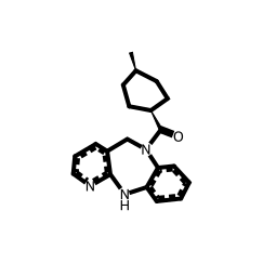 C[C@H]1CC[C@@H](C(=O)N2Cc3cccnc3Nc3ccccc32)CC1